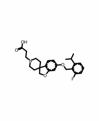 CC(C)c1cccc(F)c1COc1ccc2c(c1)OCC21CCN(CCC(=O)O)CC1